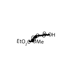 CCOC(=O)/C=C/c1ccc(OC(=O)c2ccc(OCCCCCCOC(=O)CCCCCO)cc2)c(OC)c1